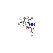 CC/C=C/C(=O)Nc1cc(C(C)(C)C)ccc1C